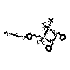 CCOCCOCCOc1ccc(CCC[C@@H](C(=O)OC)N2CCN(Cc3ccccc3)CCN(Cc3ccccc3)CCN([C@H](COC(C)(C)C)C(=O)OC)CC2)cc1